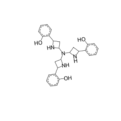 Oc1ccccc1C1CC(N(C2CC(c3ccccc3O)N2)C2CC(c3ccccc3O)N2)N1